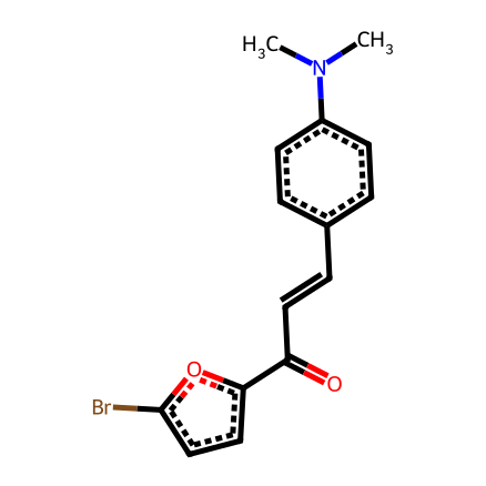 CN(C)c1ccc(C=CC(=O)c2ccc(Br)o2)cc1